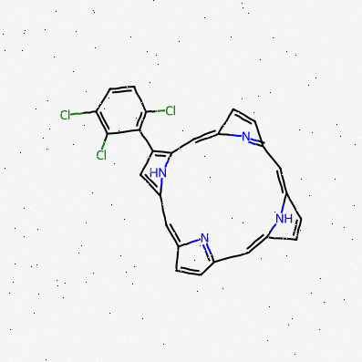 Clc1ccc(Cl)c(-c2cc3cc4nc(cc5ccc(cc6nc(cc2[nH]3)C=C6)[nH]5)C=C4)c1Cl